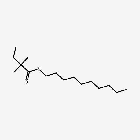 CCCCCCCCCCSC(=O)C(C)(C)CC